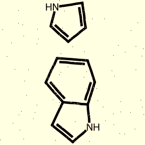 c1cc[nH]c1.c1ccc2[nH]ccc2c1